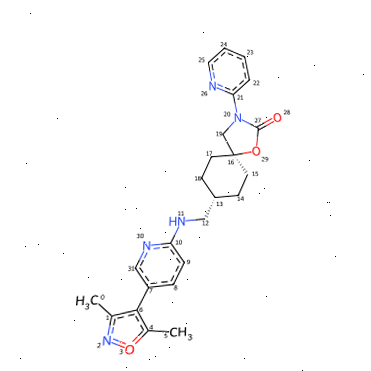 Cc1noc(C)c1-c1ccc(NC[C@H]2CC[C@]3(CC2)CN(c2ccccn2)C(=O)O3)nc1